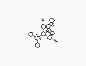 N#Cc1ccc(-c2cc(-c3nc(-c4ccccc4)cc(-c4ccccc4)n3)cc(-c3ccc(C#N)cc3)c2-n2c3ccccc3c3c4sc5ccccc5c4ccc32)cc1